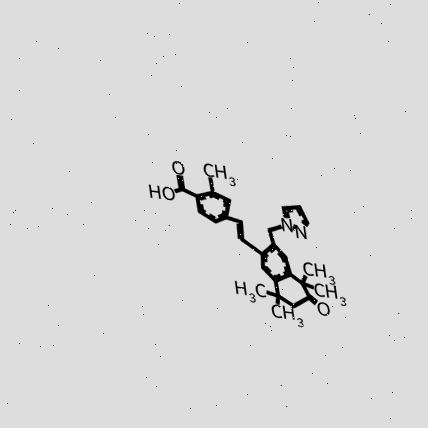 Cc1cc(C=Cc2cc3c(cc2Cn2cccn2)C(C)(C)C(=O)CC3(C)C)ccc1C(=O)O